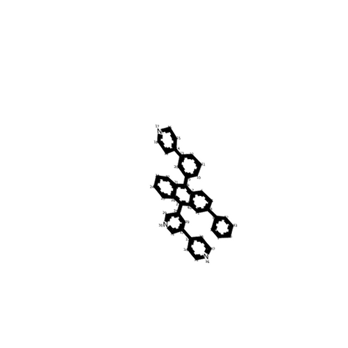 c1ccc(-c2ccc3c(-c4cccc(-c5ccncc5)c4)c4ccccc4c(-c4cncc(-c5ccncc5)c4)c3c2)cc1